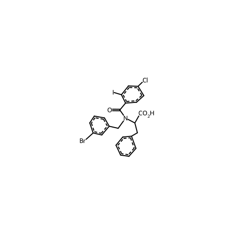 O=C(O)C(Cc1ccccc1)N(Cc1cccc(Br)c1)C(=O)c1ccc(Cl)cc1I